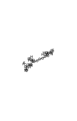 Cc1nonc1C(=O)NC(c1cn2ncc(C(COCCOCCOCCOCCOC[C@H]3OC[C@H](Nc4cncc(C(F)(F)F)n4)[C@@H](O)[C@H]3O)N3C[C@@H](C(F)(F)F)NC3=O)cc2n1)C1CCC(F)(F)CC1